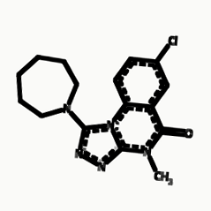 Cn1c(=O)c2cc(Cl)ccc2n2c(N3CCCCCC3)nnc12